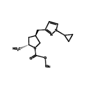 CC(C)(C)OC(=O)N1C[C@H](Cc2ccn(C3CC3)n2)C[C@H]1C(=O)O